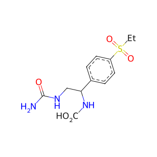 CCS(=O)(=O)c1ccc(C(CNC(N)=O)NC(=O)O)cc1